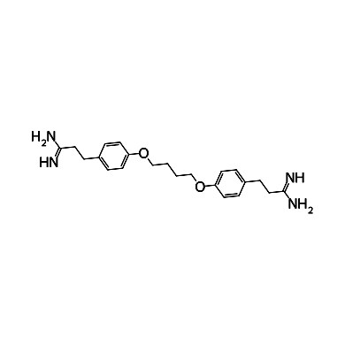 N=C(N)CCc1ccc(OCCCCOc2ccc(CCC(=N)N)cc2)cc1